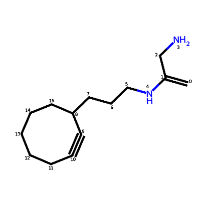 C=C(CN)NCCCC1C#CCCCCC1